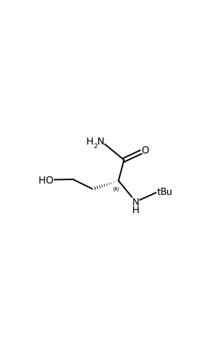 CC(C)(C)N[C@H](CCO)C(N)=O